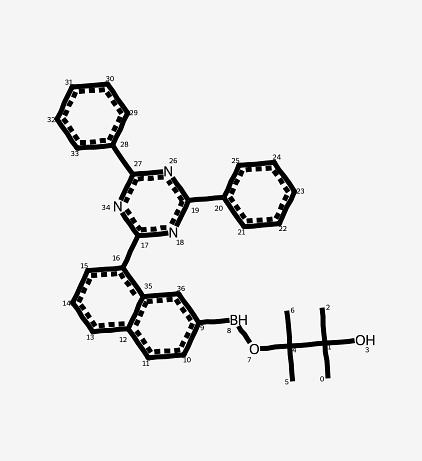 CC(C)(O)C(C)(C)OBc1ccc2cccc(-c3nc(-c4ccccc4)nc(-c4ccccc4)n3)c2c1